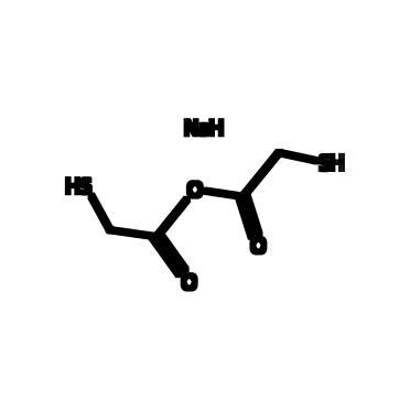 O=C(CS)OC(=O)CS.[NaH]